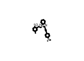 Cc1ccc(S(=O)(=O)O)c(CCn2c(C#Cc3ccc(N(C)C)cc3)nc3ccccc32)c1